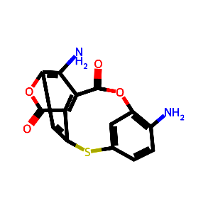 Nc1ccc2cc1oc(=O)c1c(N)c3cc(s2)c1c(=O)o3